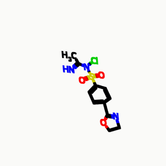 CC(=N)N(Cl)S(=O)(=O)c1ccc(C2=NCCO2)cc1